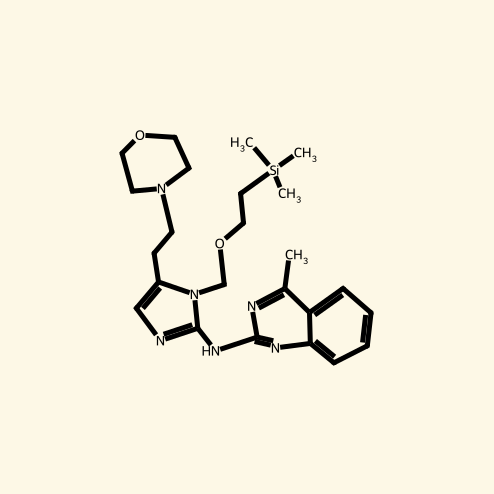 Cc1nc(Nc2ncc(CCN3CCOCC3)n2COCC[Si](C)(C)C)nc2ccccc12